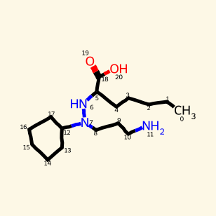 CCCCCC(NN(CCCN)C1CCCCC1)C(=O)O